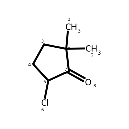 CC1(C)CCC(Cl)C1=O